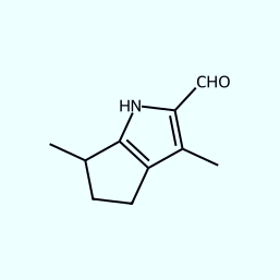 Cc1c(C=O)[nH]c2c1CCC2C